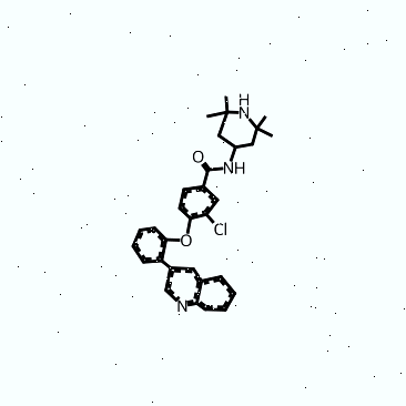 CC1(C)CC(NC(=O)c2ccc(Oc3ccccc3-c3cnc4ccccc4c3)c(Cl)c2)CC(C)(C)N1